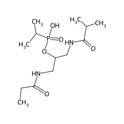 CCC(=O)NCC(CNC(=O)C(C)C)OP(=O)(O)C(C)C